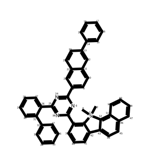 C[Si]1(C)c2c(-c3nc(-c4ccc5cc(-c6ccccc6)ccc5c4)nc(-c4ccccc4-c4ccccc4)n3)cccc2-c2ccc3ccccc3c21